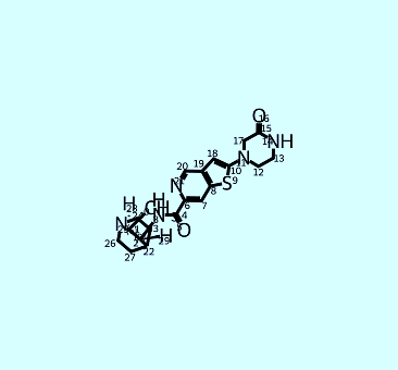 C[C@H]1[C@H](NC(=O)c2cc3sc(N4CCNC(=O)C4)cc3cn2)C2CCN1CC2